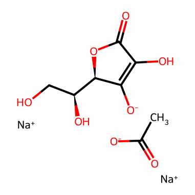 CC(=O)[O-].O=C1O[C@H]([C@@H](O)CO)C([O-])=C1O.[Na+].[Na+]